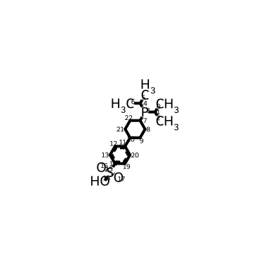 CC(C)P(C(C)C)C1CCC(c2ccc(S(=O)(=O)O)cc2)CC1